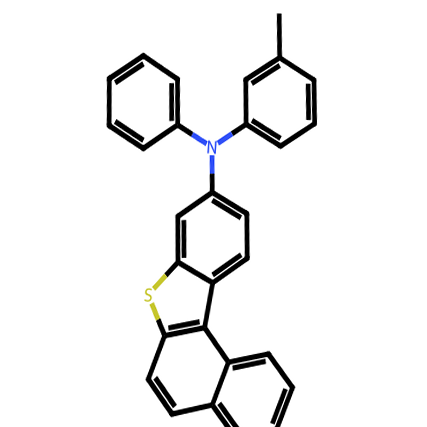 Cc1cccc(N(c2ccccc2)c2ccc3c(c2)sc2ccc4ccccc4c23)c1